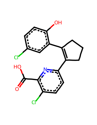 O=C(O)c1nc(C2=C(c3cc(Cl)ccc3O)CCC2)ccc1Cl